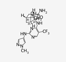 Cn1cc(Nc2ncc(C(F)(F)F)c(N[C@H]3[C@@H](C(N)=O)C[C@H]4C[C@@H]3C4(C)C)n2)cn1